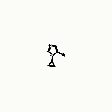 Brc1cncn1C1CC1